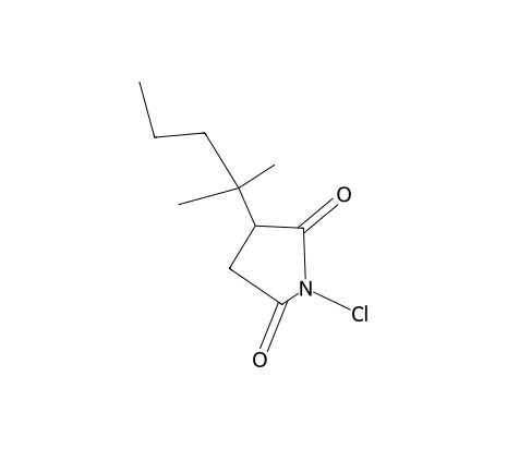 CCCC(C)(C)C1CC(=O)N(Cl)C1=O